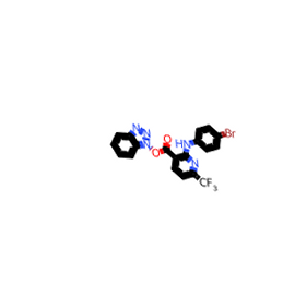 O=C(On1nnc2ccccc21)c1ccc(C(F)(F)F)nc1Nc1ccc(Br)cc1